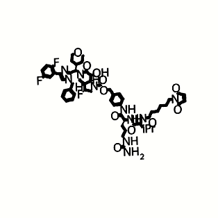 CC(C)C(NC(=O)CCCCCN1C(=O)C=CC1=O)C(=O)N[C@@H](CCCNC(N)=O)C(=O)Nc1ccc(COC(=O)N2C[C@H](F)[C@@H]3CN([C@@H](c4nc(-c5cc(F)ccc5F)cn4Cc4ccccc4)C4CCOCC4)C(=O)C(O)[C@H]32)cc1